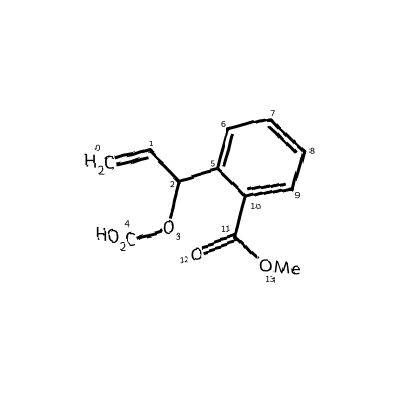 C=CC(OC(=O)O)c1ccccc1C(=O)OC